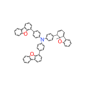 CC12Oc3ccccc3C1=CC=CC2c1ccc(N(c2ccc(-c3cccc4c3oc3ccccc34)cc2)c2ccc(-c3cccc4c3oc3ccccc34)cc2)cc1